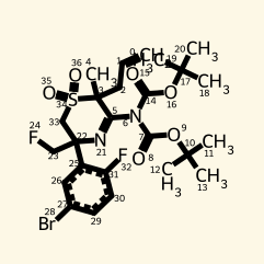 C=CCC1(C)C(N(C(=O)OC(C)(C)C)C(=O)OC(C)(C)C)=NC(CF)(c2cc(Br)ccc2F)CS1(=O)=O